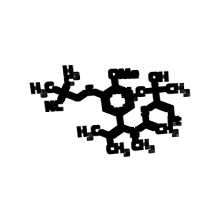 C=C(S/C(=C\CC)C(C)(C)O)N(C)C(=C(C)C)c1ccc(OC)c(SCC(C)(C)C#N)c1